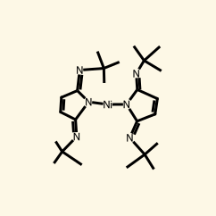 CC(C)(C)N=C1C=CC(=NC(C)(C)C)[N]1[Ni][N]1C(=NC(C)(C)C)C=CC1=NC(C)(C)C